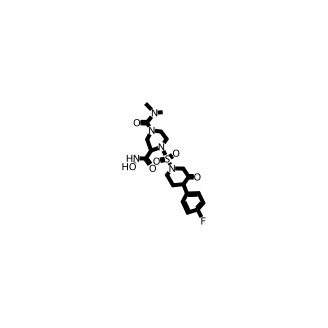 CN(C)C(=O)N1CCN(S(=O)(=O)N2CCC(c3ccc(F)cc3)C(=O)C2)C(C(=O)NO)C1